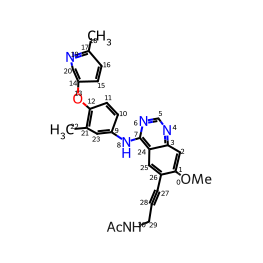 COc1cc2ncnc(Nc3ccc(Oc4ccc(C)nc4)c(C)c3)c2cc1C#CCNC(C)=O